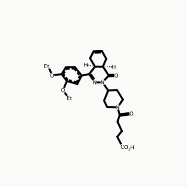 CCOc1ccc(C2=NN(C3CCN(C(=O)CCCC(=O)O)CC3)C(=O)[C@@H]3CC=CC[C@H]23)cc1OCC